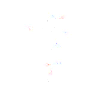 COc1ccc2c(c1)c(CCN1CCC(NC(=O)OC(C)(C)C)CC1)c(C#N)c(=O)n2C